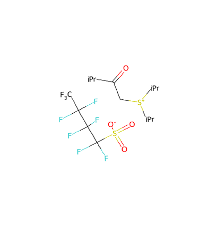 CC(C)C(=O)C[S+](C(C)C)C(C)C.O=S(=O)([O-])C(F)(F)C(F)(F)C(F)(F)C(F)(F)F